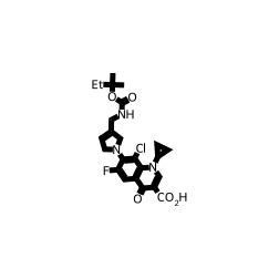 CCC(C)(C)OC(=O)NCC1=CCN(c2c(F)cc3c(=O)c(C(=O)O)cn(C4CC4)c3c2Cl)C1